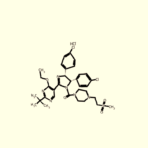 CCOc1nc(C(C)(C)C)ncc1C1=N[C@H](c2ccc(Cl)cc2)[C@H](c2ccc(Cl)cc2)N1C(=O)N1CCN(CCS(C)(=O)=O)CC1.Cl